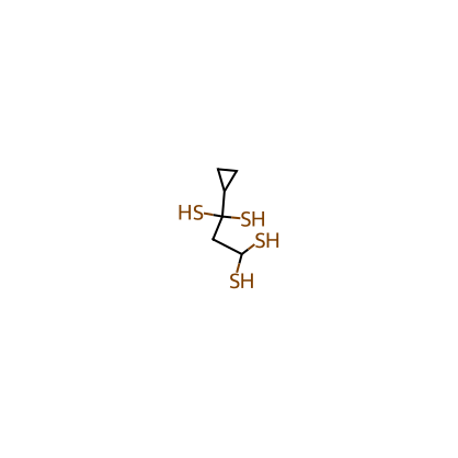 SC(S)CC(S)(S)C1CC1